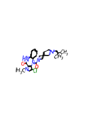 CC(C)CN1CCC2(C1)CN(C(=O)N1c3ccccc3NC(=O)c3c1c(Cl)cn3C)C2